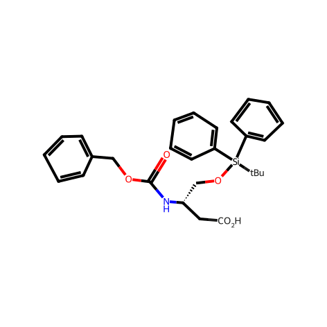 CC(C)(C)[Si](OC[C@H](CC(=O)O)NC(=O)OCc1ccccc1)(c1ccccc1)c1ccccc1